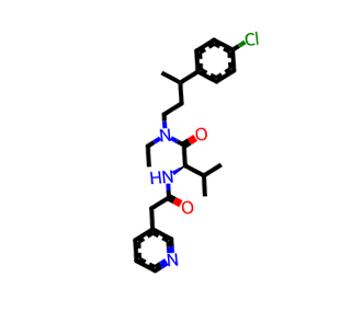 CCN(CCC(C)c1ccc(Cl)cc1)C(=O)[C@H](NC(=O)Cc1cccnc1)C(C)C